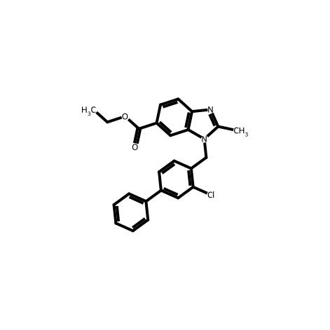 CCOC(=O)c1ccc2nc(C)n(Cc3ccc(-c4ccccc4)cc3Cl)c2c1